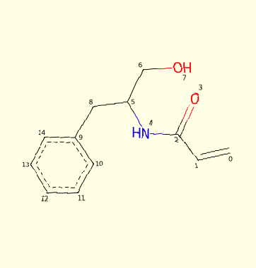 C=CC(=O)NC(CO)Cc1ccccc1